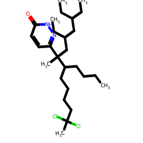 CCCCC(CCCCC(C)(Cl)Cl)C(C)(CC(CC)CC(CC)CC)c1ccc(=O)[nH]n1